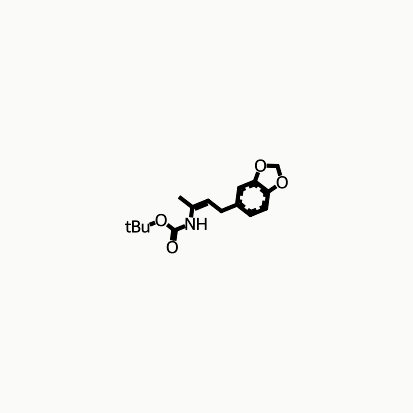 CC(=CCc1ccc2c(c1)OCO2)NC(=O)OC(C)(C)C